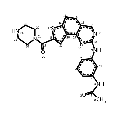 CC(=O)Nc1cccc(Nc2ncc3ccc4sc(C(=O)N5CCNCC5)cc4c3n2)c1